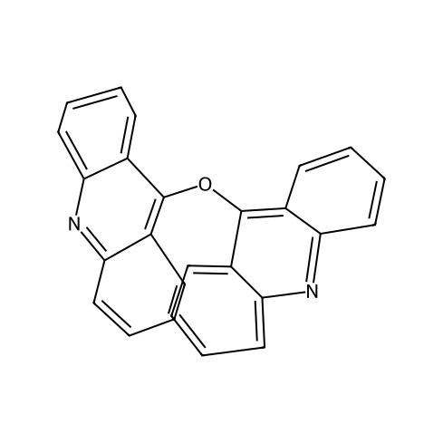 c1ccc2c(Oc3c4ccccc4nc4ccccc34)c3ccccc3nc2c1